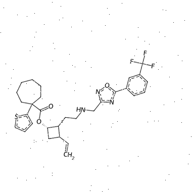 C=CC1C[C@H](OC(=O)C2(c3cccs3)CCCCCC2)C1CCNCc1noc(-c2cccc(C(F)(F)F)c2)n1